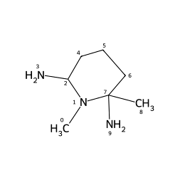 CN1C(N)CCCC1(C)N